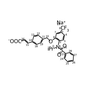 CC(C)N(c1ccc(C(F)(F)F)cc1OCc1ccc(C=CC(=O)[O-])cc1)S(=O)(=O)c1ccccc1.[Na+]